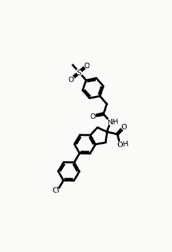 CS(=O)(=O)c1ccc(CC(=O)NC2(C(=O)O)Cc3ccc(-c4ccc(Cl)cc4)cc3C2)cc1